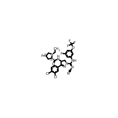 CCN1C[C@H](F)C[C@@H]1C(=O)NC1CN(C(=NC#N)Nc2cc(F)cc(OC(F)(F)F)c2)N=C1c1ccc(Cl)c(Cl)c1